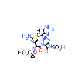 Cc1nn(C[C@@H]2C(NC(=O)/C(=N\OC3(C(=O)O)CC3)c3csc(N)n3)C(=O)N2S(=O)(=O)O)nc1CN